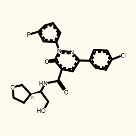 O=C(NC(CO)[C@H]1CCOC1)c1cc(-c2ccc(Cl)cc2)nn(-c2cccc(F)c2)c1=O